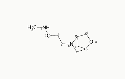 CNOCCN1CC2CC1CO2